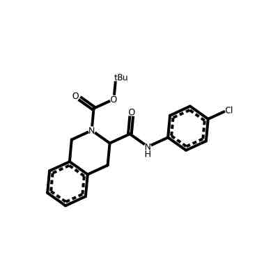 CC(C)(C)OC(=O)N1Cc2ccccc2CC1C(=O)Nc1ccc(Cl)cc1